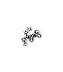 c1ccc(-c2cccc(-c3cc(-c4cccc(-c5ccccc5)c4)nc(-n4c5ccccc5c5c6cc7c8ccccc8c8ccccc8n7c6ccc54)c3)c2)cc1